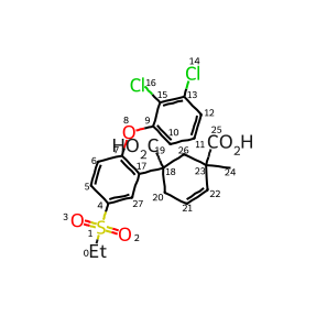 CCS(=O)(=O)c1ccc(Oc2cccc(Cl)c2Cl)c(C2(C(=O)O)CC=CC(C)(C(=O)O)C2)c1